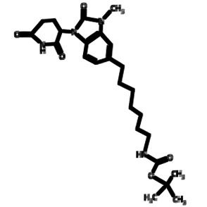 Cn1c(=O)n(C2CCC(=O)NC2=O)c2ccc(CCCCCCCNC(=O)OC(C)(C)C)cc21